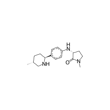 C[C@@H]1CC[C@@H](c2ccc(N[C@@H]3CCN(C)C3=O)cc2)NC1